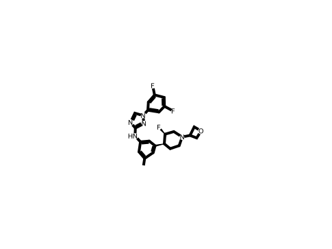 Cc1cc(Nc2ncn(-c3cc(F)cc(F)c3)n2)cc([C@@H]2CCN(C3COC3)C[C@@H]2F)c1